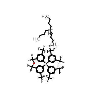 CCCC[NH+](CCCC)CCCC.FC(F)(F)c1cc([B-](c2cc(C(F)(F)F)cc(C(F)(F)F)c2)(c2cc(C(F)(F)F)cc(C(F)(F)F)c2)c2cc(C(F)(F)F)cc(C(F)(F)F)c2)cc(C(F)(F)F)c1